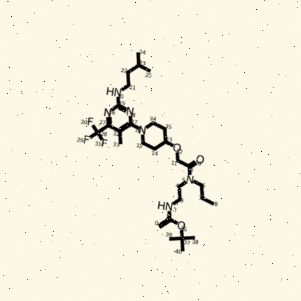 C=C(NCCN(CCC)C(=O)COC1CCN(c2nc(NCCC(C)C)nc(C(F)(F)F)c2C)CC1)OC(C)(C)C